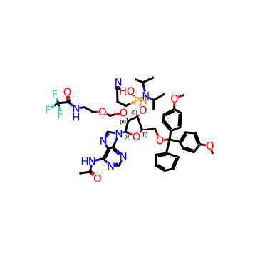 COc1ccc(C(OC[C@H]2O[C@@H](n3cnc4c(NC(C)=O)ncnc43)[C@H](OCOCCNC(=O)C(F)(F)F)[C@@H]2O[PH](O)(CCC#N)N(C(C)C)C(C)C)(c2ccccc2)c2ccc(OC)cc2)cc1